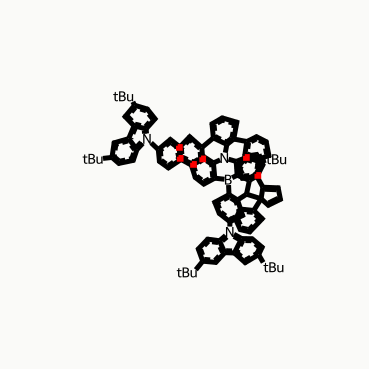 CC(C)(C)c1cc2c3c(c1)N(c1c(-c4ccccc4)cccc1-c1ccccc1)c1cc(-c4ccc(-n5c6ccc(C(C)(C)C)cc6c6cc(C(C)(C)C)ccc65)cc4)ccc1B3c1ccc(-n3c4ccc(C(C)(C)C)cc4c4cc(C(C)(C)C)ccc43)cc1C2C1(c2ccccc2)C=CC=C1c1ccccc1